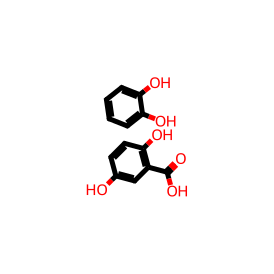 O=C(O)c1cc(O)ccc1O.Oc1ccccc1O